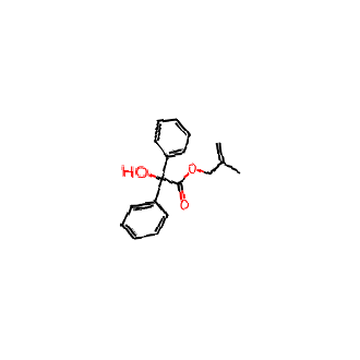 C=C(C)COC(=O)C(O)(c1ccccc1)c1ccccc1